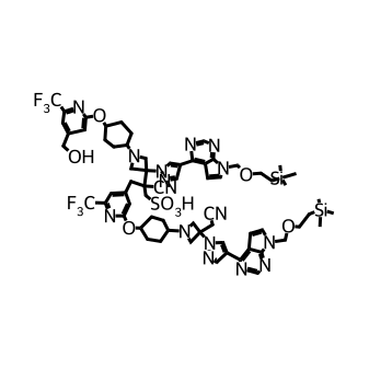 C[Si](C)(C)CCOCn1ccc2c(-c3cnn(C4(CC#N)CN(C5CCC(Oc6cc(CC(C#N)(CS(=O)(=O)O)C7(n8cc(-c9ncnc%10c9ccn%10COCC[Si](C)(C)C)cn8)CN(C8CCC(Oc9cc(CO)cc(C(F)(F)F)n9)CC8)C7)cc(C(F)(F)F)n6)CC5)C4)c3)ncnc21